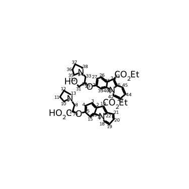 CCOC(=O)c1c2ccc(OC(CN3CCCC3)C(=O)O)cc2n2ccccc12.CCOC(=O)c1c2ccc(OC(CO)CN3CCCC3)cc2n2ccccc12